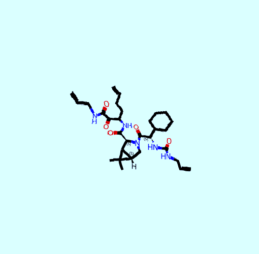 C=CCCC(NC(=O)[C@@H]1C2[C@H](CN1C(=O)[C@@H](NC(=O)NCC=C)C1CCCCC1)C2(C)C)C(=O)C(=O)NCC=C